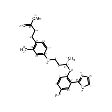 CCc1ccc(O[C@@H](C)CCOc2ccc(CCC(=O)OC)c(C)c2)c(-c2ncco2)c1